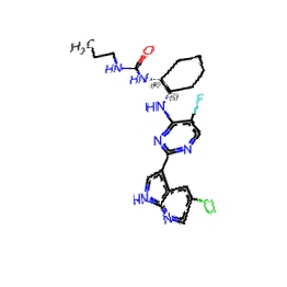 CCCNC(=O)N[C@@H]1CCCC[C@@H]1Nc1nc(-c2c[nH]c3ncc(Cl)cc23)ncc1F